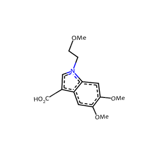 COCCn1cc(C(=O)O)c2cc(OC)c(OC)cc21